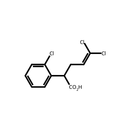 O=C(O)C(CC=C(Cl)Cl)c1ccccc1Cl